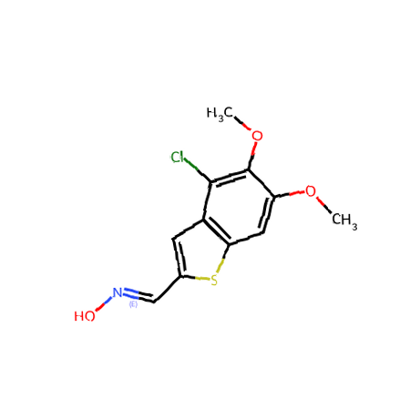 COc1cc2sc(/C=N/O)cc2c(Cl)c1OC